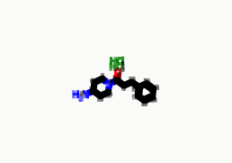 Cl.Cl.NC1CCN(C(=O)CCc2ccccc2)CC1